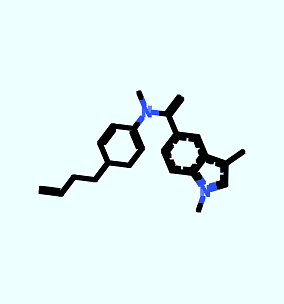 C=CCCC1C=CC(N(C)C(=C)c2ccc3c(c2)c(C)cn3C)=CC1